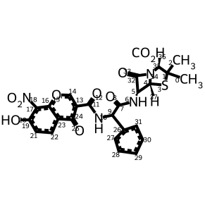 CC1(C)S[C@@H]2[C@H](NC(=O)C(NC(=O)c3coc4c([N+](=O)[O-])c(O)ccc4c3=O)c3ccccc3)C(=O)N2[C@H]1C(=O)O